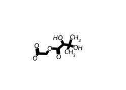 CC(C)(O)C(O)C(=O)OCC([O])=O